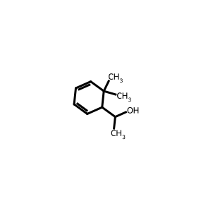 CC(O)C1C=CC=CC1(C)C